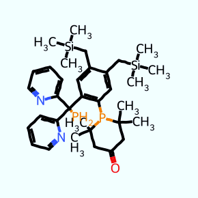 CC1(C)CC(=O)CC(C)(C)P1c1cc(C[Si](C)(C)C)c(C[Si](C)(C)C)cc1C(P)(c1ccccn1)c1ccccn1